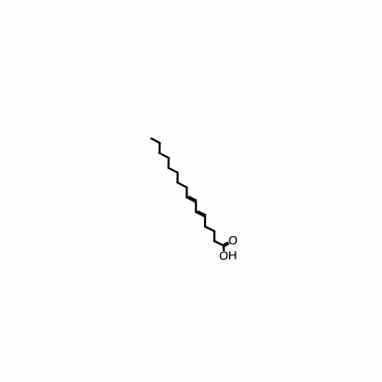 CCCCCCCCC=CC=CCCCC(=O)O